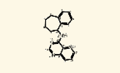 c1ccc2c(c1)CCCCC2Nc1ncnc2cccnc12